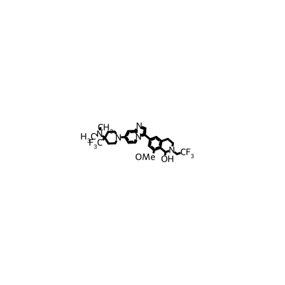 COc1cc(-c2cnc3cc(N4CCC(N(C)C)(C(F)(F)F)CC4)ccn23)cc2c1C(O)N(CC(F)(F)F)CC2